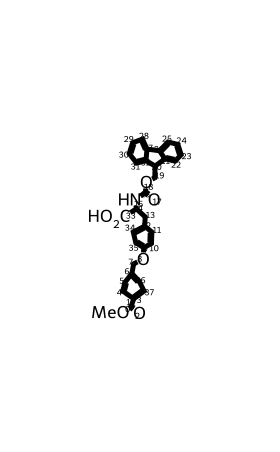 COC(=O)c1ccc(COc2ccc(CC(NC(=O)OCC3c4ccccc4-c4ccccc43)C(=O)O)cc2)cc1